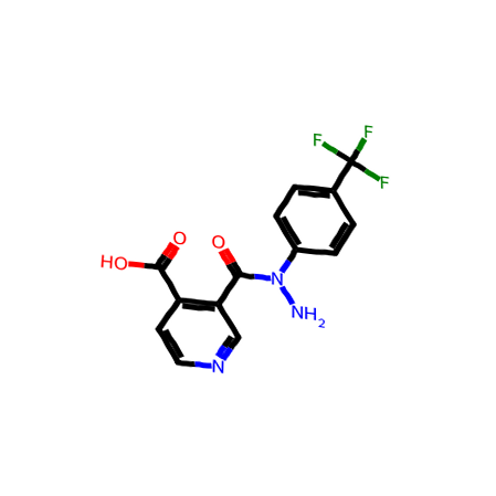 NN(C(=O)c1cnccc1C(=O)O)c1ccc(C(F)(F)F)cc1